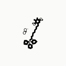 COc1cc(CCCCCCCCCC[P+](c2ccccc2)(c2ccccc2)c2ccccc2)c(OC)c(C)c1C.O=C[O-]